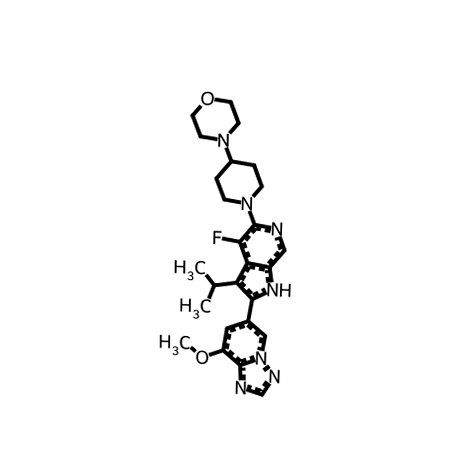 COc1cc(-c2[nH]c3cnc(N4CCC(N5CCOCC5)CC4)c(F)c3c2C(C)C)cn2ncnc12